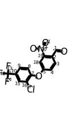 O=[C]c1ccc(Oc2ccc(C(F)(F)F)cc2Cl)cc1[N+](=O)[O-]